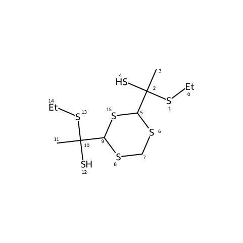 CCSC(C)(S)C1SCSC(C(C)(S)SCC)S1